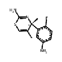 CC1=CSC(N)=N[C@]1(C)c1cc(N)ccc1F